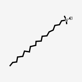 CCCCCCCCCCCCCCCCCC[N+](C)(C)Cl